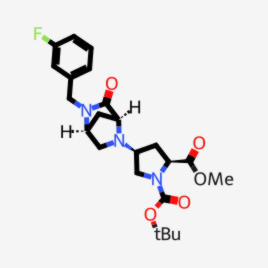 COC(=O)[C@@H]1C[C@H](N2C[C@@H]3C[C@H]2C(=O)N3Cc2cccc(F)c2)CN1C(=O)OC(C)(C)C